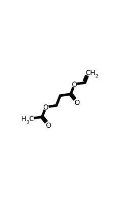 C=COC(=O)CCOC(C)=O